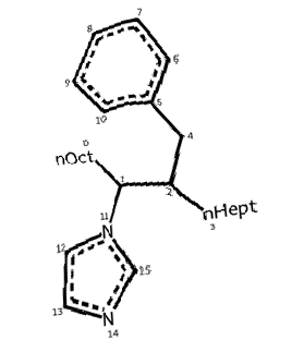 CCCCCCCCC(C(CCCCCCC)Cc1ccccc1)n1ccnc1